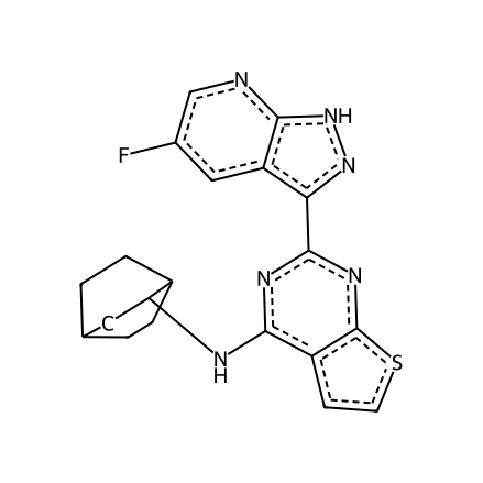 Fc1cnc2[nH]nc(-c3nc(NC4CC5CCC4CC5)c4ccsc4n3)c2c1